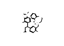 Cc1c(C(CC(=O)O)c2ccc(F)c(CN3C[C@@H](C)Oc4ccccc4S3(O)O)c2)ccc2c1nnn2C